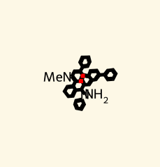 CNc1cc(-c2ccccc2)ccc1C1=CCCC=C1C(c1ccc2ccc(-c3ccccc3)cc2c1)N(N)c1ccccc1